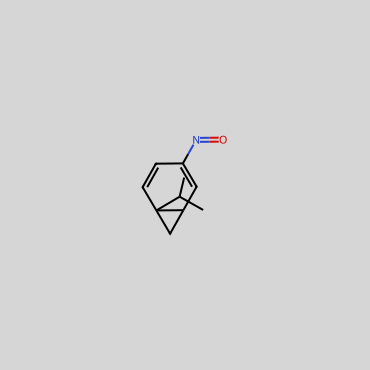 CC(C)C12C=CC(N=O)=CC1C2